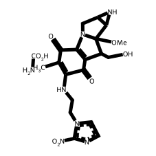 COC12C(CO)C3=C(C(=O)C(C)=C(NCCn4ccnc4[N+](=O)[O-])C3=O)N1CC1NC12.NC(=O)O